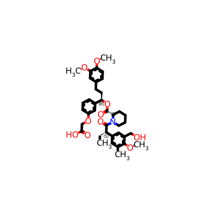 CC[C@H](C(=O)N1CCCC[C@H]1C(=O)O[C@H](CCc1ccc(OC)c(OC)c1)c1cccc(OCC(=O)O)c1)c1cc(C)c(OC)c(CO)c1